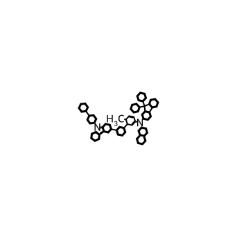 CC1C=CC(N(c2ccc3c(c2)C(c2ccccc2)(c2ccccc2)c2ccccc2-3)c2ccc3ccccc3c2)=CC1c1cccc(-c2ccc3c(c2)c2ccccc2n3-c2ccc(-c3ccccc3)cc2)c1